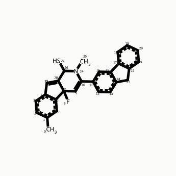 Cc1ccc2c(c1)C1(F)C=C(c3ccc4c(c3)-c3ccccc3C4)N(C)C(S)C1=C2